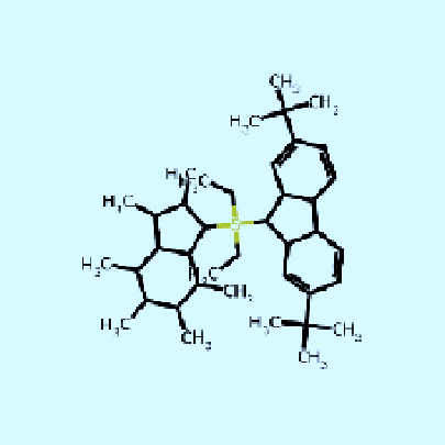 CCS(CC)(C1C2C=C(C(C)(C)C)C=CC2C2C=CC(C(C)(C)C)=CC21)C1C(C)C(C)C2C(C)C(C)C(C)C(C)C21